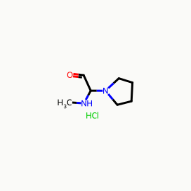 CNC(C=O)N1CCCC1.Cl